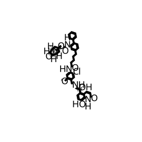 COc1cc(NC(=O)CCCCc2ccc(-c3ccccc3)c(NC(=O)OC3C[C@@H]4[C@H]5O[C@H]5[C@H](C3)[N+]4(C)C)c2)c(Cl)cc1CNC[C@H](O)c1ccc(O)c2[nH]c(=O)ccc12